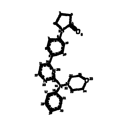 O=C1CCCN1c1ccc(-c2ccnc(N(c3ccccc3)N3CCOCC3)n2)cc1